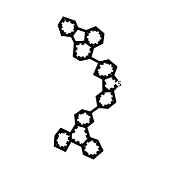 c1ccc2c(c1)-c1cccc3c(-c4ccc5sc6ccc(-c7ccc8c9ccccc9c9ccccc9c8c7)cc6c5c4)ccc-2c13